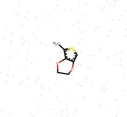 [CH2]c1scc2c1OCCO2